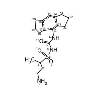 CC(CCN)S(=O)(=O)NC(=O)Nc1c2c(cc3c1CCC3)CCC2